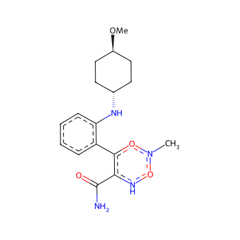 CO[C@H]1CC[C@H](Nc2ccccc2-c2on(C)o[nH]c2C(N)=O)CC1